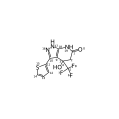 O=C1CC(O)(C(F)(F)F)c2c(-c3cccs3)n[nH]c2N1